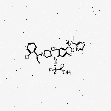 CCC(c1ccccc1Cl)N1CC[C@H](N(C)c2cc(F)c(S(=O)(=O)Nc3cscn3)cc2Cl)C1.O=C(O)C(F)(F)F